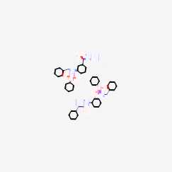 NC(=O)c1cccc(N(Cc2ccccc2)S(=O)(=O)c2ccccc2)c1.O=C(Cc1ccccc1)Nc1cccc(N(Cc2ccccc2)S(=O)(=O)c2ccccc2)c1